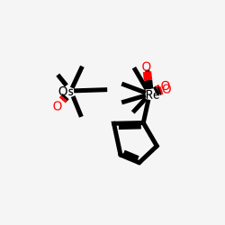 [CH3][Os]([CH3])([CH3])([CH3])=[O].[CH3][Re]([CH3])([CH3])([CH3])([CH3])(=[O])(=[O])(=[O])[C]1=CC=CC1